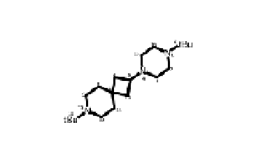 CC(C)(C)N1CCN(C2CC3(CCN(C(C)(C)C)CC3)C2)CC1